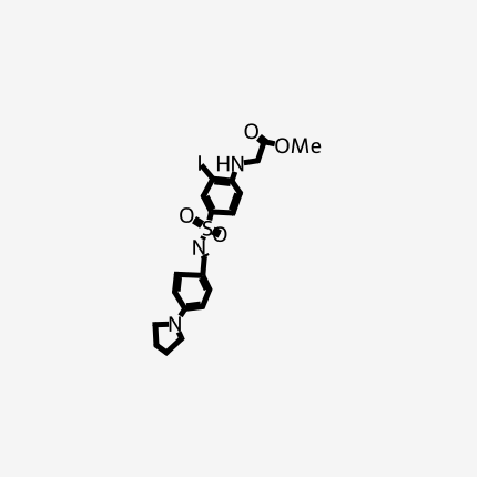 COC(=O)CNc1ccc(S(=O)(=O)N=Cc2ccc(N3CCCC3)cc2)cc1I